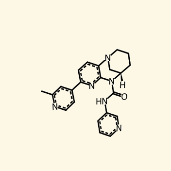 Cc1cc(-c2ccc3c(n2)N(C(=O)Nc2cccnc2)[C@H]2CCCN3C2)ccn1